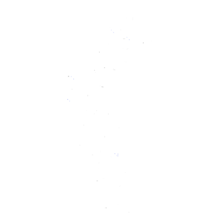 Cc1nc2cc(-c3cnc4[nH]cc(C(=O)c5c(F)ccc(NS(=O)(=O)c6cccc(F)c6)c5F)c4c3)ccc2n1C